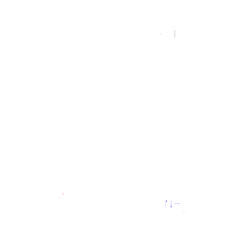 Cc1ccc(C2CC(=O)C=C(N)C2)s1